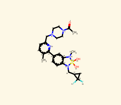 CC(=O)N1CCN(Cc2ccc(C)c(-c3ccc4c(c3)N(C)S(O)(O)N4CC3CC3(F)F)n2)CC1